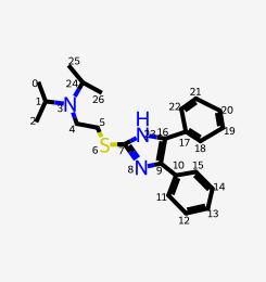 CC(C)N(CCSc1nc(-c2ccccc2)c(-c2ccccc2)[nH]1)C(C)C